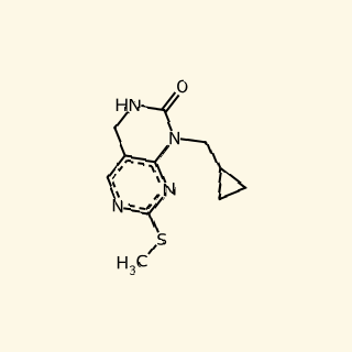 CSc1ncc2c(n1)N(CC1CC1)C(=O)NC2